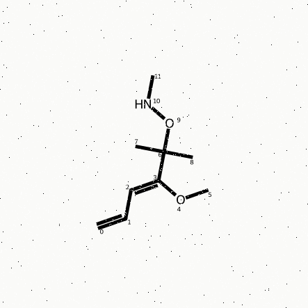 C=C/C=C(\OC)C(C)(C)ONC